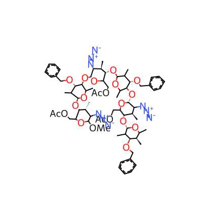 COC1OC(COC(C)=O)[C@@H](O[C@@H]2OC(C)[C@H](O[C@@H]3OC(COC(C)=O)[C@@H](O[C@@H]4OC(C)[C@H](O[C@H]5OC(COC(C)=O)[C@@H](O[C@@H]6OC(C)[C@@H](C)[C@@H](OCc7ccccc7)C6C)[C@H](C)C5N=[N+]=[N-])[C@@H](OCc5ccccc5)C4C)[C@H](C)C3N=[N+]=[N-])[C@@H](OCc3ccccc3)C2C)[C@H](C)C1N=[N+]=[N-]